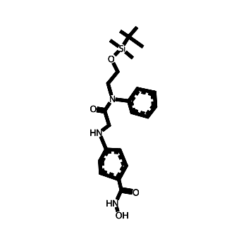 CC(C)(C)[Si](C)(C)OCCN(C(=O)CNc1ccc(C(=O)NO)cc1)c1ccccc1